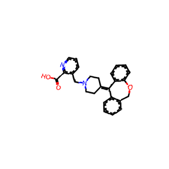 O=C(O)c1ncccc1CN1CCC(=C2c3ccccc3COc3ccccc32)CC1